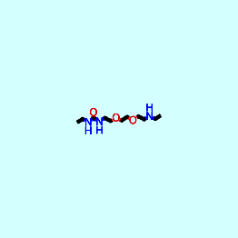 CCNCCOCCOCCNC(=O)NCC